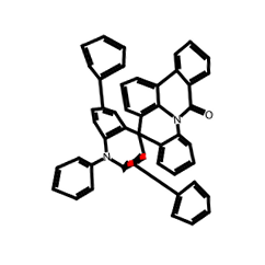 O=c1c2ccccc2c2cccc3c2n1-c1ccccc1C31c2cc(-c3ccccc3)ccc2N(c2ccccc2)c2ccc(-c3ccccc3)cc21